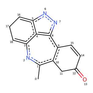 Cc1nc2c3c(nnc=3c3c1CC(=O)C=C3)=CCC=2